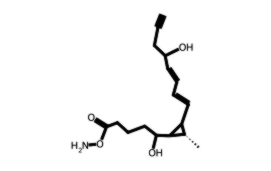 C#CCC(O)/C=C/C=C/C1C(C(O)CCCC(=O)ON)[C@H]1C